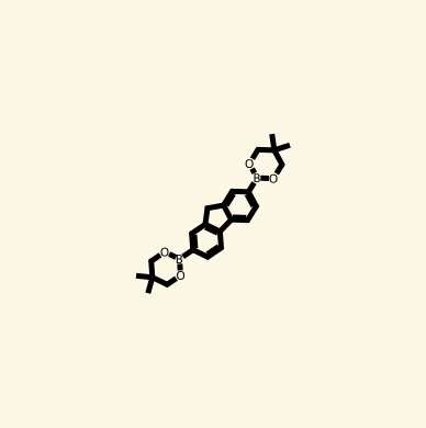 CC1(C)COB(c2ccc3c(c2)Cc2cc(B4OCC(C)(C)CO4)ccc2-3)OC1